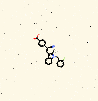 Cc1c(C=C(C#N)c2ccc(C(=O)O)cc2)c2ccccc2n1Cc1ccccc1F